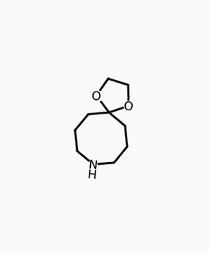 C1CNCCCC2(C1)OCCO2